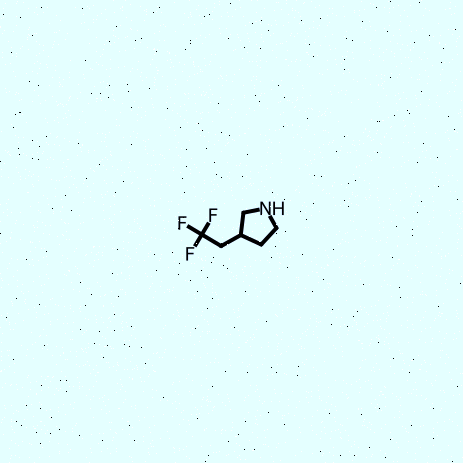 FC(F)(F)CC1CCNC1